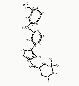 CC1CC(Nc2nnc(-c3cccc(Oc4cccc(C(F)(F)F)c4)c3)s2)CC(C)(C)C1